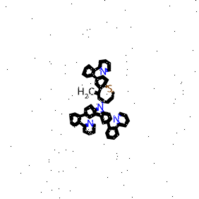 C=C1/C=C(n2c3ccc(-c4ccccc4-c4ccccn4)cc3c3cc(-c4ccccc4-c4ccccn4)ccc32)\C=C/CSc2ccc(-c3ccccc3-c3ccccn3)cc21